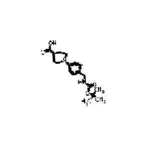 CC(C)(C)OC(=O)NCc1ccc(N2CCC(C(=O)O)CC2)cc1